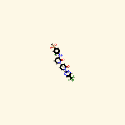 CS(=O)(=O)c1ccc(NC2CCCN([C@H]3CCN(c4ncc(C(F)(F)F)cn4)C(=O)C3)C2=O)c(F)c1